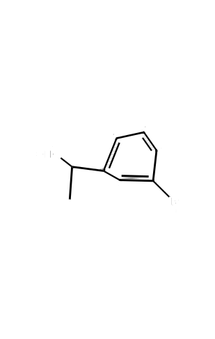 CC([C]=O)c1cccc(Br)c1